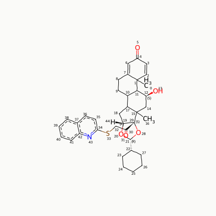 CC12C=CC(=O)C=C1CCC1C2[C@@H](O)CC2(C)C1C[C@H]1O[C@@H](C3CCCCC3)O[C@]12C(=O)CSc1ccc2ccccc2n1